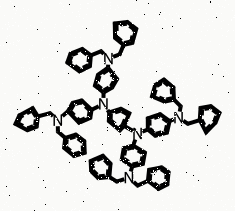 c1ccc(CN(Cc2ccccc2)c2ccc(N(c3ccc(N(Cc4ccccc4)Cc4ccccc4)cc3)c3ccc(N(c4ccc(N(Cc5ccccc5)Cc5ccccc5)cc4)c4ccc(N(Cc5ccccc5)Cc5ccccc5)cc4)cc3)cc2)cc1